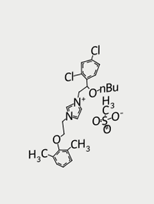 CCCCOC(C[n+]1ccn(CCOc2c(C)cccc2C)c1)c1ccc(Cl)cc1Cl.CS(=O)(=O)[O-]